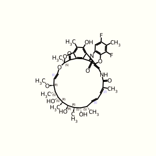 CO[C@H]1/C=C/O[C@@]2(C)Oc3c(C)c(O)c4c(=O)c(c5oc6c(F)c(C)c(F)cc6nc-5c4c3C2=O)NC(=O)/C(C)=C\C=C\[C@H](C)[C@H](O)[C@@H](C)[C@@H](O)[C@@H](C)[C@H](O)[C@@H]1C